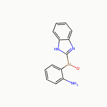 Nc1ccccc1[S+]([O-])c1nc2ccccc2[nH]1